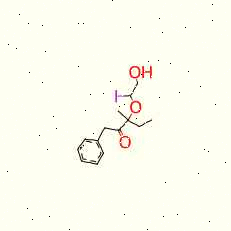 CCC(C)(OC(I)CO)C(=O)Cc1ccccc1